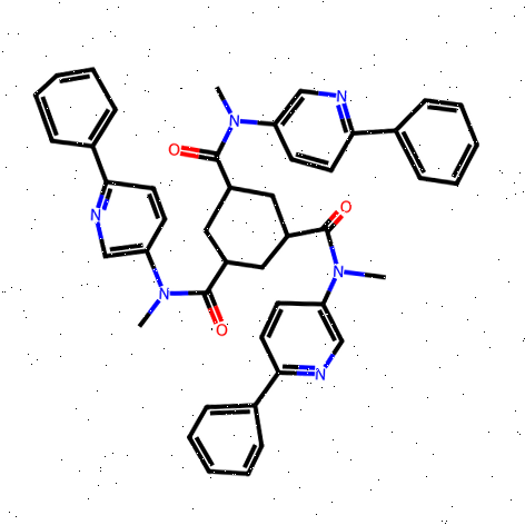 CN(C(=O)C1CC(C(=O)N(C)c2ccc(-c3ccccc3)nc2)CC(C(=O)N(C)c2ccc(-c3ccccc3)nc2)C1)c1ccc(-c2ccccc2)nc1